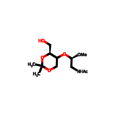 CO[C@@H](CNC(C)=O)OC1COC(C)(C)O[C@H]1CO